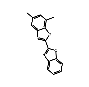 Cc1cc(C)c2oc(-c3nc4ccccc4o3)nc2c1